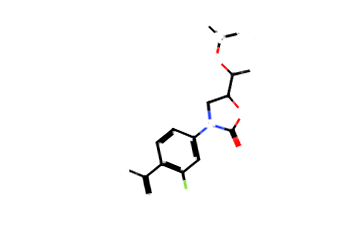 C=C(C(=O)OCC)c1ccc(N2CC(C(O[SiH](C)C)C(C)(C)C)OC2=O)cc1F